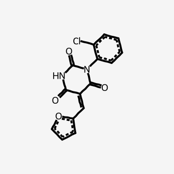 O=C1NC(=O)N(c2ccccc2Cl)C(=O)/C1=C/c1ccco1